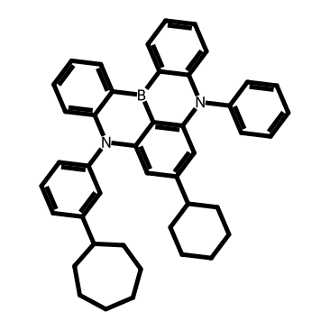 c1ccc(N2c3ccccc3B3c4ccccc4N(c4cccc(C5CCCCCC5)c4)c4cc(C5CCCCC5)cc2c43)cc1